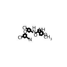 COc1ccc2c(C(=O)NCc3ccc(Cl)c(Oc4cc(Cl)cc(C#N)c4)c3)c[nH]c2c1